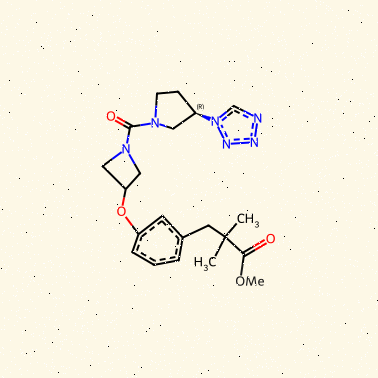 COC(=O)C(C)(C)Cc1cccc(OC2CN(C(=O)N3CC[C@@H](n4cnnn4)C3)C2)c1